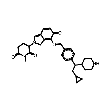 O=C1CCC(N2C=C3C=CC(=O)C(OCc4ccc(C(CC5CC5)C5CCNCC5)cc4)=C3C2)C(=O)N1